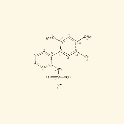 CCCS(=O)(=O)Nc1ccccc1-c1cc(C(C)C)c(OC)cc1OC